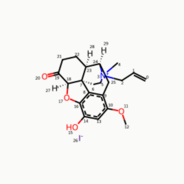 C=CC[N+]1(C)CC[C@]23c4c5c(OC)cc(O)c4O[C@H]2C(=O)CC[C@H]3[C@H]1C5.[I-]